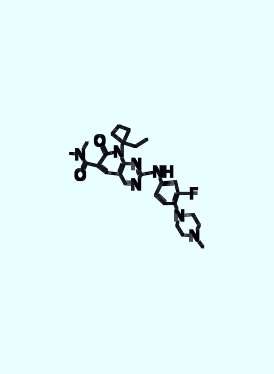 CCC1(n2c(=O)c(C(=O)N(C)C)cc3cnc(Nc4ccc(N5CCN(C)CC5)c(F)c4)nc32)CCC1